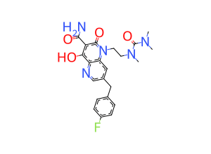 CN(C)C(=O)N(C)CCn1c(=O)c(C(N)=O)c(O)c2ncc(Cc3ccc(F)cc3)cc21